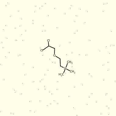 C[Si](C)(C)CCOCC(Cl)Cl